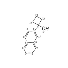 OC1(c2ccc3ccccc3c2)CCC1